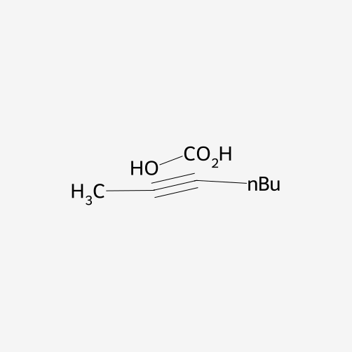 CC#CCCCC.O=C(O)O